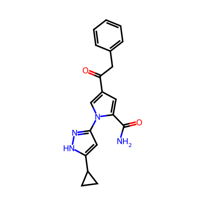 NC(=O)c1cc(C(=O)Cc2ccccc2)cn1-c1cc(C2CC2)[nH]n1